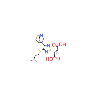 CC(C)CCSc1nsnc1C1CN2CCC1CC2.O=C(O)/C=C/C(=O)O